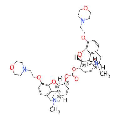 CN1CC[C@]23c4c5ccc(OCCN6CCOCC6)c4O[C@H]2[C@@H](OC(=O)OC2C=C[C@H]4[C@H]6Cc7ccc(OCCN8CCOCC8)c8c7[C@@]4(CCN6C)[C@H]2O8)C=C[C@H]3C1C5